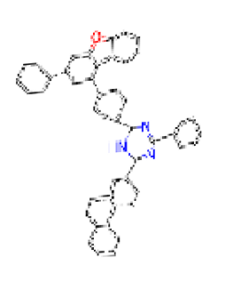 c1ccc(C2=NC(c3ccc(-c4cc(-c5ccccc5)cc5oc6ccccc6c45)cc3)NC(c3ccc4c(ccc5ccccc54)c3)=N2)cc1